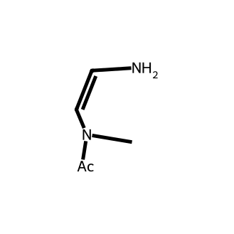 CC(=O)N(C)/C=C\N